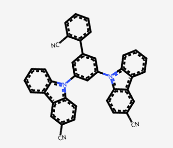 N#Cc1ccc2c(c1)c1ccccc1n2-c1cc(-c2ccccc2C#N)cc(-n2c3ccccc3c3cc(C#N)ccc32)c1